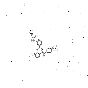 O=C(CN1CCCC1)Nc1cc(CSc2ncccc2C(=O)Nc2ccc(OC(F)(F)F)cc2)ccn1